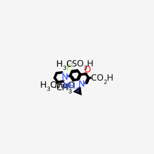 COc1c(N2CCCC(C)(C)[C@H]2N)c(F)cc2c(=O)c(C(=O)O)cn(C3CC3)c12.CS(=O)(=O)O